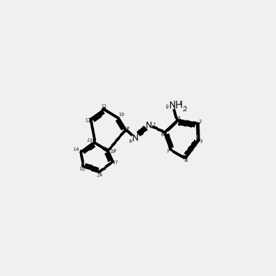 Nc1ccccc1N=Nc1cccc2ccccc12